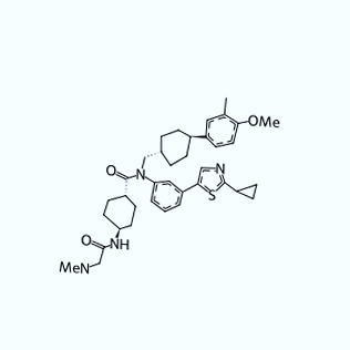 CNCC(=O)N[C@H]1CC[C@H](C(=O)N(C[C@H]2CC[C@H](c3ccc(OC)c(C)c3)CC2)c2cccc(-c3cnc(C4CC4)s3)c2)CC1